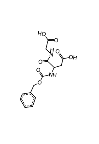 O=C(O)CNC(=O)C(CC(=O)O)NC(=O)OCc1ccccc1